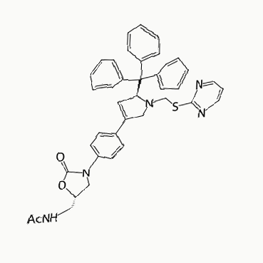 CC(=O)NC[C@H]1CN(c2ccc(C3=C[C@@H](C(c4ccccc4)(c4ccccc4)c4ccccc4)N(CSc4ncccn4)C3)cc2)C(=O)O1